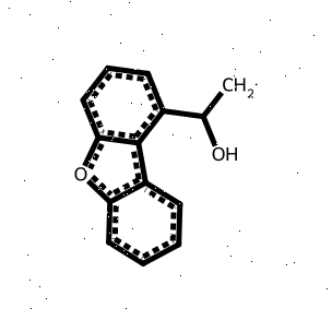 [CH2]C(O)c1cccc2oc3ccccc3c12